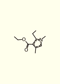 CCOC(=O)c1c(C)cn(C)c1CC